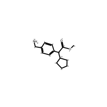 COC(=O)C(c1ccc(CN)cc1)C1CCCC1